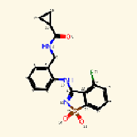 O=C(NCc1ccccc1NC1=NS(=O)(=O)c2cccc(F)c21)C1CC1